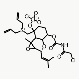 C=CC[S+](CC=C)CC1(O[Cl+3]([O-])([O-])[O-])CCC(OC(=O)NC(=O)CCl)C(OC)C1C1(C)OC1CC=C(C)C